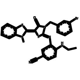 CCNc1ccc(C#N)cc1N=C1SC(=C2Sc3ccccc3N2C)C(=O)N1Cc1cccc(Br)c1